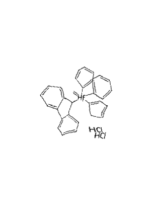 Cl.Cl.[CH2]=[Hf]([C]1=CC=CC1)([c]1ccccc1)([c]1ccccc1)[CH]1c2ccccc2-c2ccccc21